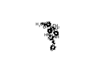 C=CC(=O)Nc1cccc(Nc2nc(Nc3ccc(Oc4ccnc(C(=O)NC)c4)cc3)ncc2SCCN2CCOCC2)c1